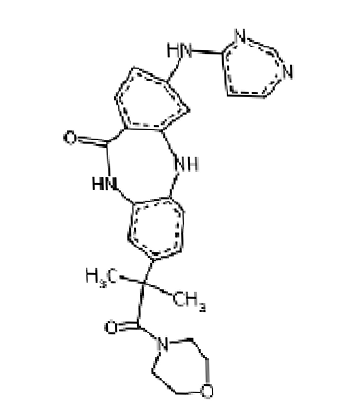 CC(C)(C(=O)N1CCOCC1)c1ccc2c(c1)NC(=O)c1ccc(Nc3ccncn3)cc1N2